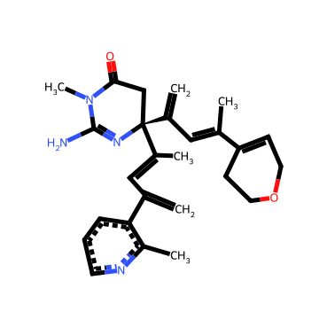 C=C(/C=C(\C)[C@@]1(C(=C)/C=C(\C)C2=CCOCC2)CC(=O)N(C)C(N)=N1)c1cccnc1C